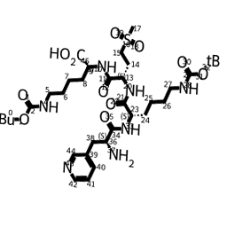 CC(C)(C)OC(=O)NCCCC[C@H](NC(=O)[C@H](CCS(C)(=O)=O)NC(=O)[C@H](CCCCNC(=O)OC(C)(C)C)NC(=O)[C@@H](N)Cc1cccnc1)C(=O)O